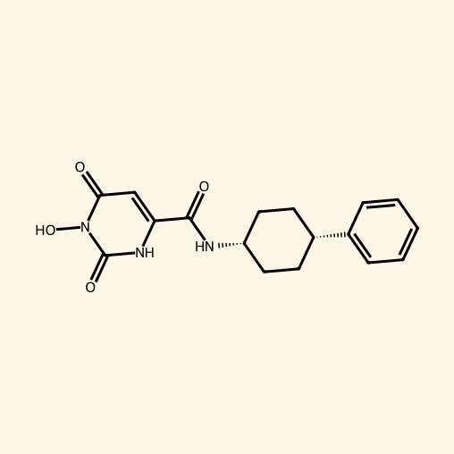 O=C(N[C@H]1CC[C@@H](c2ccccc2)CC1)c1cc(=O)n(O)c(=O)[nH]1